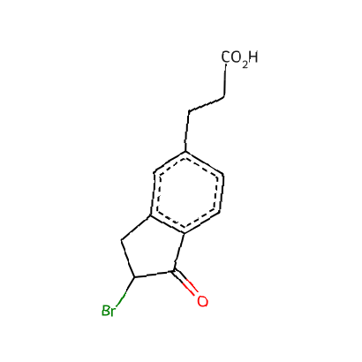 O=C(O)CCc1ccc2c(c1)CC(Br)C2=O